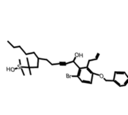 C=CCc1c(OCc2ccccc2)ccc(Br)c1C(O)C#CCCC(CCCCC)CC(C)(C)[Si](C)(C)O